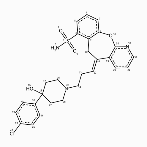 NS(=O)(=O)c1cccc2c1CC(=CCCN1CCC(O)(c3ccc(Cl)cc3)CC1)c1cccnc1O2